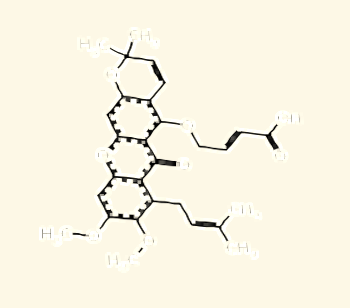 COc1cc2oc3cc4c(c(OC/C=C/C(=O)O)c3c(=O)c2c(CC=C(C)C)c1OC)C=CC(C)(C)O4